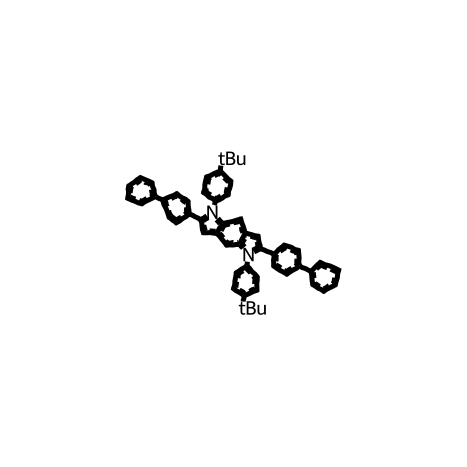 CC(C)(C)c1ccc(-n2c(-c3ccc(-c4ccccc4)cc3)cc3cc4c(cc(-c5ccc(-c6ccccc6)cc5)n4-c4ccc(C(C)(C)C)cc4)cc32)cc1